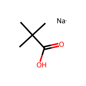 CC(C)(C)C(=O)O.[Na]